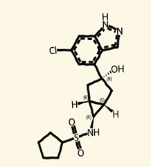 O=S(=O)(N[C@H]1[C@@H]2C[C@@](O)(c3cc(Cl)cc4[nH]ncc34)C[C@@H]21)C1CCCC1